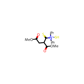 COC(=O)CC(C(=O)OC)C(=S)[N+](S)(C(C)C)C(C)C